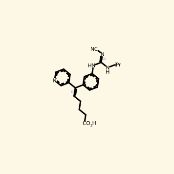 CC(C)N/C(=N/C#N)Nc1cccc(/C(=C\CCCC(=O)O)c2cccnc2)c1